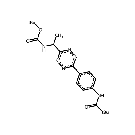 CC(NC(=O)OC(C)(C)C)c1nnc(-c2ccc(NC(=O)C(C)(C)C)cc2)nn1